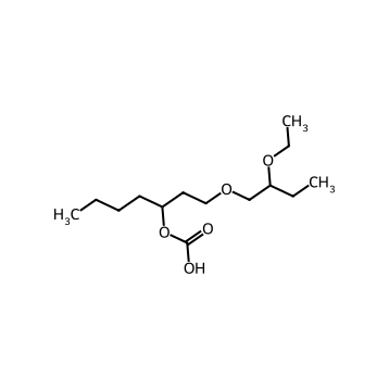 CCCCC(CCOCC(CC)OCC)OC(=O)O